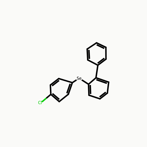 Clc1ccc([Se]c2ccccc2-c2ccccc2)cc1